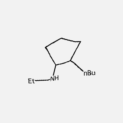 CCCCC1CCCC1NCC